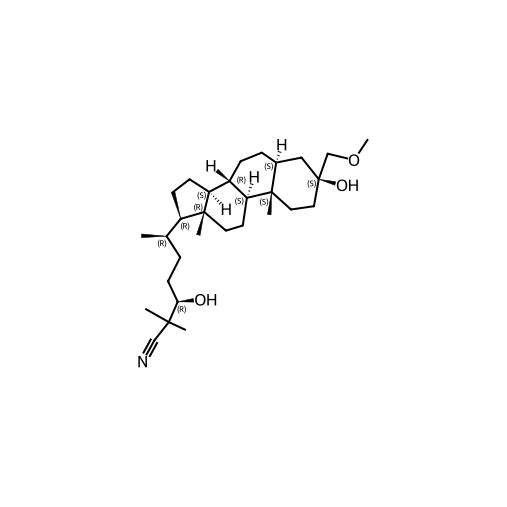 COC[C@]1(O)CC[C@@]2(C)[C@@H](CC[C@@H]3[C@@H]2CC[C@]2(C)[C@@H]([C@H](C)CC[C@@H](O)C(C)(C)C#N)CC[C@@H]32)C1